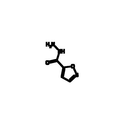 NNC(=O)c1ccbo1